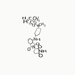 CN(C(=O)OC(C)(C)C)[C@H]1CC[C@H](Nc2cccc3c2C(=O)N(C2CCC(=O)NC2=O)C3=O)CC1